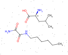 CC(C)C[C@H](N)C(=O)O.CCCCCCNC(=O)C(N)=O